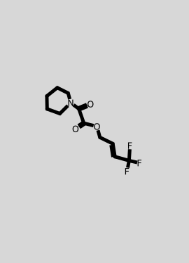 O=C(OC/C=C/C(F)(F)F)C(=O)N1CCCCC1